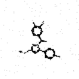 Cc1ccc(-c2cc(C(=O)O)nn2C(C)c2ccc(Cl)c(Cl)c2)cc1